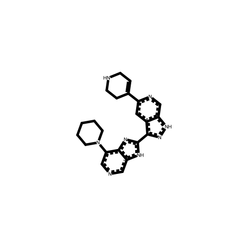 C1=C(c2cc3c(-c4nc5c(N6CCCCC6)cncc5[nH]4)n[nH]c3cn2)CCNC1